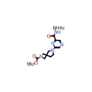 CC(=O)NNC(=O)c1cncc(N2CCC3(CN(C(=O)OC(C)(C)C)C3)C2)n1